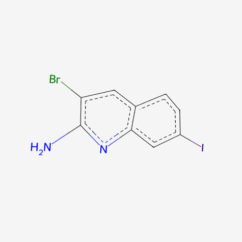 Nc1nc2cc(I)ccc2cc1Br